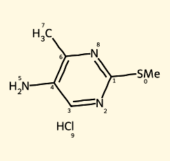 CSc1ncc(N)c(C)n1.Cl